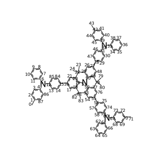 Cc1ccc(N(c2ccccc2)c2ccc(-c3cc4c5c(c3)C(C)(C)c3cc(-c6ccc(N(c7ccccc7)c7ccc(C)cc7)cc6)cc6c3N5c3c(cc(-c5ccc(N(c7ccccc7)c7ccc(C)cc7)cc5)cc3C6(C)C)C4(C)C)cc2)cc1